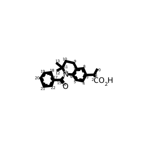 CC(C(=O)O)c1ccc2c(c1)CCC(C)(C)N2C(=O)c1ccccc1